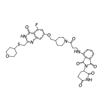 O=C1CCC(N2C(=O)c3cccc(NCCC(=O)N4CCC(COc5cc(F)c6c(=O)[nH]c(CSC7CCOCC7)nc6c5)CC4)c3C2=O)C(=O)N1